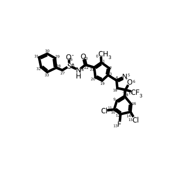 Cc1cc(C2=NOC(c3cc(Cl)c(F)c(Cl)c3)(C(F)(F)F)C2)ccc1C(=O)N[S+]([O-])Cc1ccccc1